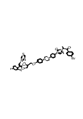 CC(C(=O)c1ccc(Br)cc1)n1ncn(-c2ccc(N3CCN(c4ccc(OCC5COC(Cn6cncn6)(c6ccc(F)cc6F)O5)cc4)CC3)cc2)c1=O